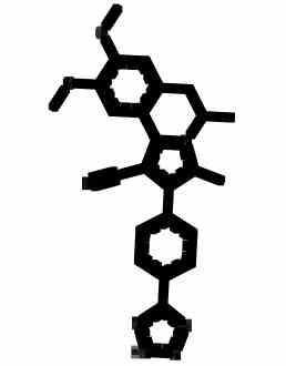 COc1cc2c(cc1OC)-c1c(C#N)c(-c3ccc(-c4nn[nH]n4)cc3)c(C)n1C(C)C2